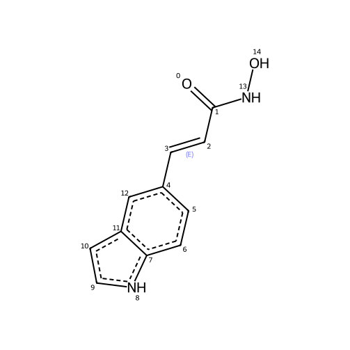 O=C(/C=C/c1ccc2[nH]ccc2c1)NO